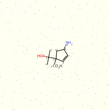 CC(C)(O)C1(C(=O)O)C=CC(N)C1